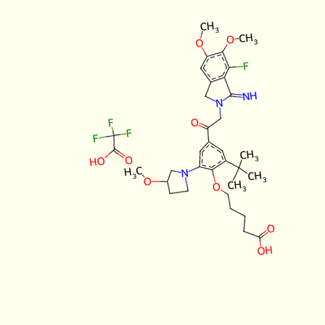 COc1cc2c(c(F)c1OC)C(=N)N(CC(=O)c1cc(N3CCC(OC)C3)c(OCCCCC(=O)O)c(C(C)(C)C)c1)C2.O=C(O)C(F)(F)F